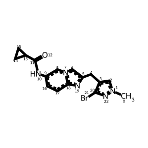 Cn1cc(Cc2cn3cc(NC(=O)C4CC4)ccc3n2)c(Br)n1